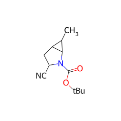 CC1C2CC(C#N)N(C(=O)OC(C)(C)C)C12